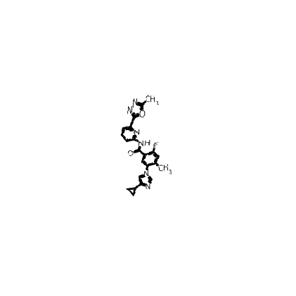 Cc1nnc(-c2cccc(NC(=O)c3cc(-n4cnc(C5CC5)c4)c(C)cc3F)n2)o1